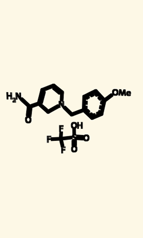 COc1ccc(CN2C=CC=C(C(N)=O)C2)cc1.O=S(=O)(O)C(F)(F)F